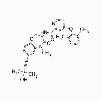 Cc1cccc(C)c1Oc1ccnc(C(=O)NC2COc3ccc(C#CC(C)(C)O)cc3N(C)C2=O)c1